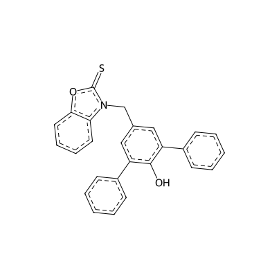 Oc1c(-c2ccccc2)cc(Cn2c(=S)oc3ccccc32)cc1-c1ccccc1